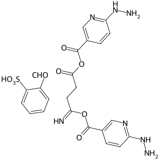 N=C(CCC(=O)OC(=O)c1ccc(NN)nc1)OC(=O)c1ccc(NN)nc1.O=Cc1ccccc1S(=O)(=O)O